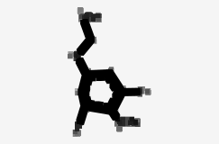 CCCCCCCCCSc1cc(F)c(NC(C)=O)c(F)c1